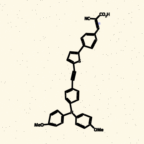 COc1ccc(N(c2ccc(C#Cc3ccc(-c4ccc(/C=C(\C#N)C(=O)O)cc4)s3)cc2)c2ccc(OC)cc2)cc1